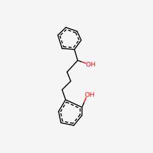 Oc1ccccc1CCCC(O)c1ccccc1